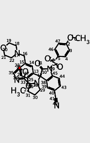 COc1ccc(S(=O)(=O)N2C(=O)C(c3cc(CN4CCOCC4)ccc3OC)(N3CCCC3c3ncco3)c3cc(C#N)ccc32)cc1